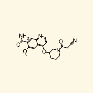 COc1cc2c(O[C@@H]3CCCN(C(=O)CC#N)C3)ccnc2cc1C(N)=O